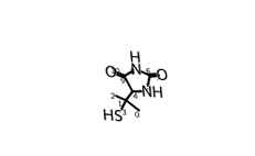 CC(C)(S)C1NC(=O)NC1=O